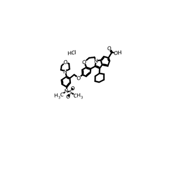 CN(c1ccc(N2CCOCC2)c(COc2ccc3c(c2)OCCn2c-3c(C3CCCCC3)c3ccc(C(=O)O)cc32)c1)S(C)(=O)=O.Cl